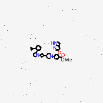 COC(=O)c1ccc(N2CCC(C3CC(N4CCCC4c4ccccc4C4CC4)C3)CC2)cc1Oc1cnc2[nH]ccc2c1